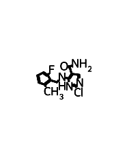 Cc1cccc(F)c1CNc1nc(Cl)ncc1C(N)=O